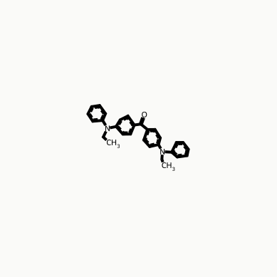 CCN(c1ccccc1)c1ccc(C(=O)c2ccc(N(CC)c3ccccc3)cc2)cc1